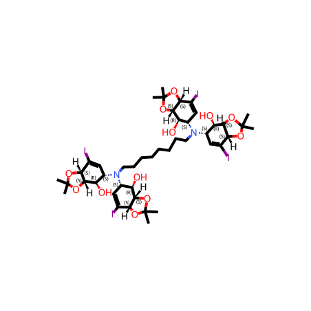 CC1(C)O[C@H]2[C@H](O)[C@@H](N(CCCCCCCCN([C@H]3C=C(I)[C@H]4OC(C)(C)O[C@H]4[C@@H]3O)[C@H]3C=C(I)[C@H]4OC(C)(C)O[C@H]4[C@@H]3O)[C@H]3C=C(I)[C@H]4OC(C)(C)O[C@H]4[C@@H]3O)C=C(I)[C@H]2O1